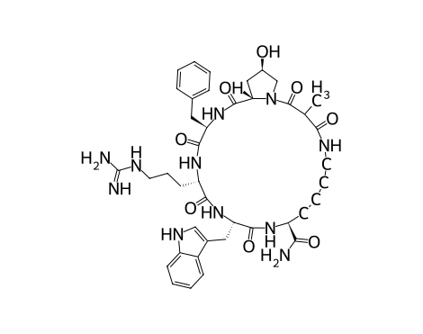 CC1C(=O)NCCCC[C@@H](C(N)=O)NC(=O)[C@H](Cc2c[nH]c3ccccc23)NC(=O)[C@H](CCCNC(=N)N)NC(=O)[C@@H](Cc2ccccc2)NC(=O)[C@@H]2C[C@@H](O)CN2C1=O